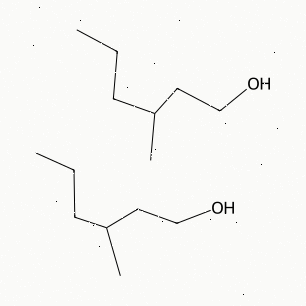 CCCC(C)CCO.CCCC(C)CCO